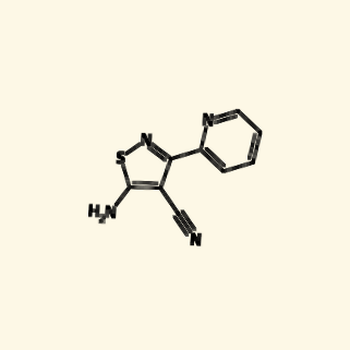 N#Cc1c(-c2ccccn2)nsc1N